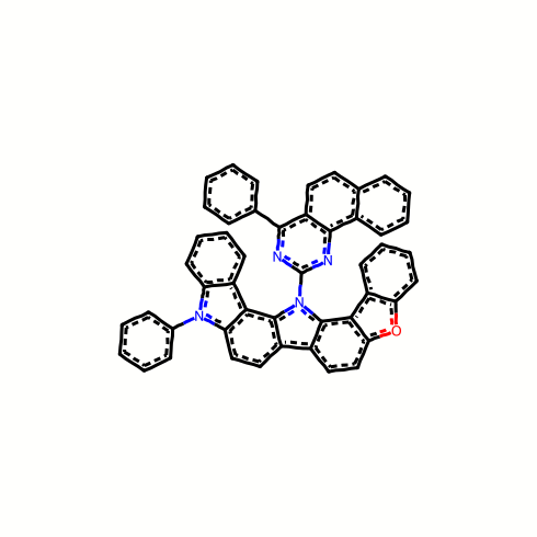 c1ccc(-c2nc(-n3c4c(ccc5oc6ccccc6c54)c4ccc5c(c6ccccc6n5-c5ccccc5)c43)nc3c2ccc2ccccc23)cc1